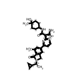 Cc1cc(-c2ccn3nc(N)c(C(=O)NC4CCC(C)(O)CC4)c3n2)cc2c1C(=O)N([C@@H](C)C1CC1)C2